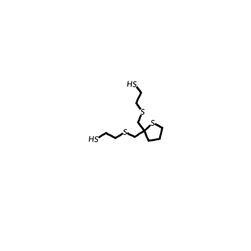 SCCSCC1(CSCCS)CCCS1